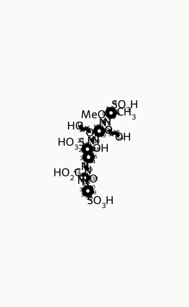 COc1cc(S(=O)(=O)O)c(C)cc1/N=N/c1cc(OCCO)c(/N=N/c2c(S(=O)(=O)O)cc3cc(/N=N/C4C(=O)N(c5ccc(S(=O)(=O)O)cc5)N=C4C(=O)O)ccc3c2O)cc1OCCO